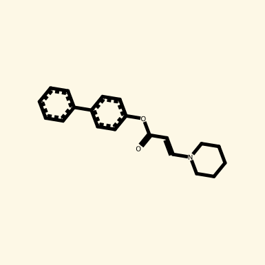 O=C(C=CN1CCCCC1)Oc1ccc(-c2ccccc2)cc1